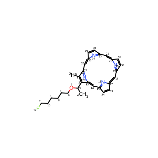 [2H]C1=C(C(C)OCCCCCCF)C2=CC3=NC(=CC4=NC(=CC5=NC(=CC1=N2)C=C5)C=C4)C=C3